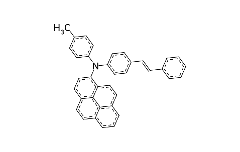 Cc1ccc(N(c2ccc(C=Cc3ccccc3)cc2)c2ccc3ccc4cccc5ccc2c3c45)cc1